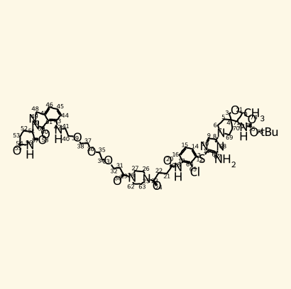 C[C@@H]1OCC2(CCN(c3cnc(Sc4cccc(NC(=O)CCC(=O)N5CCN(C(=O)CCOCCOCCOCCNc6cccc7cnn(C8CCC(=O)NC8=O)c(=O)c67)CC5)c4Cl)c(N)n3)CC2)[C@@H]1NC(=O)OC(C)(C)C